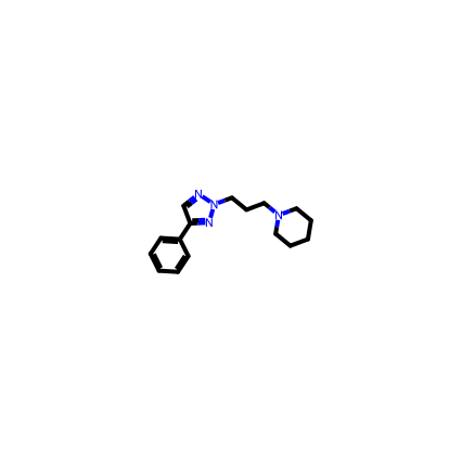 c1ccc(-c2cnn(CCCN3CCCCC3)n2)cc1